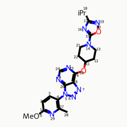 COc1ccc(-n2nnc3c(OC4CCN(c5nc(C(C)C)no5)CC4)ncnc32)c(C)n1